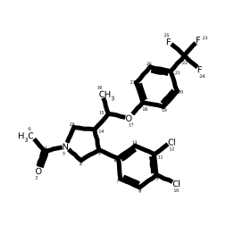 CC(=O)N1CC(c2ccc(Cl)c(Cl)c2)C(C(C)Oc2ccc(C(F)(F)F)cc2)C1